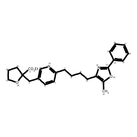 CCOC(=O)C1(Cc2ccc(CCCCc3nc(-c4ccccc4)oc3C)nc2)CCCO1